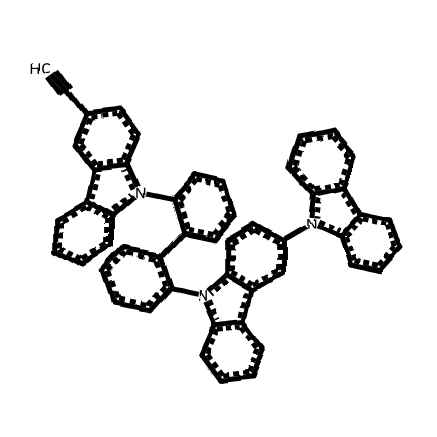 C#Cc1ccc2c(c1)c1ccccc1n2-c1ccccc1-c1ccccc1-n1c2ccccc2c2cc(-n3c4ccccc4c4ccccc43)ccc21